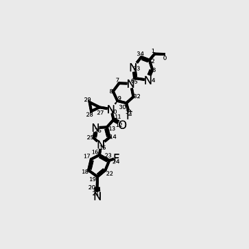 CCc1cnc(N2CC[C@@H](N(C(=O)c3cn(-c4ccc(C#N)cc4F)cn3)C3CC3)C(F)C2)nc1